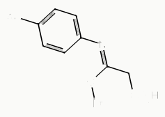 CCOC(CC(=O)O)=Nc1ccc(C(C)=O)cc1